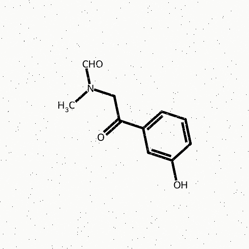 CN(C=O)CC(=O)c1cccc(O)c1